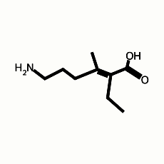 CCC(C(=O)O)=C(C)CCCN